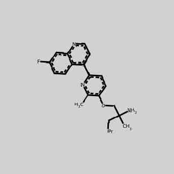 Cc1nc(-c2ccnc3cc(F)ccc23)ccc1OCC(C)(N)CC(C)C